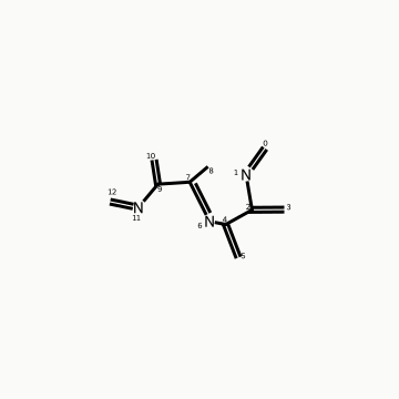 C=NC(=C)C(=C)/N=C(\C)C(=C)N=C